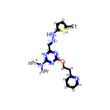 CCCN(CCC)c1nc(/C=N/Nc2ccc(CC)s2)nc(OCCc2ccccn2)n1